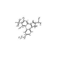 CS(=O)(=O)c1c(F)cc(-c2nc(C(F)F)[nH]c2-c2ccc(OC(F)(F)F)cc2)cc1F